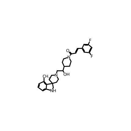 Cc1cccc2c1C1(CCN(CC(O)C3CCN(C(=O)/C=C/c4cc(F)cc(F)c4)CC3)CC1)CN2